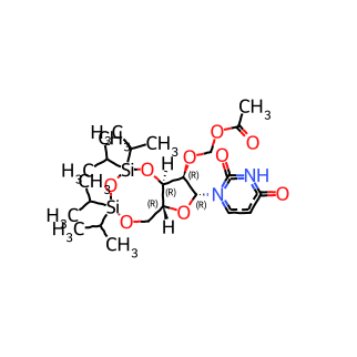 CC(=O)OCO[C@@H]1[C@@H]2O[Si](C(C)C)(C(C)C)O[Si](C(C)C)(C(C)C)OC[C@H]2O[C@H]1n1ccc(=O)[nH]c1=O